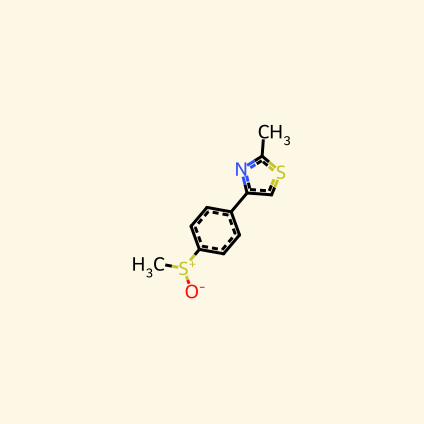 Cc1nc(-c2ccc([S+](C)[O-])cc2)cs1